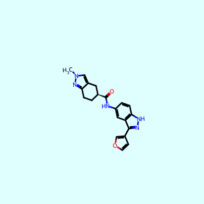 Cn1cc2c(n1)CC[C@H](C(=O)Nc1ccc3[nH]nc(-c4ccoc4)c3c1)C2